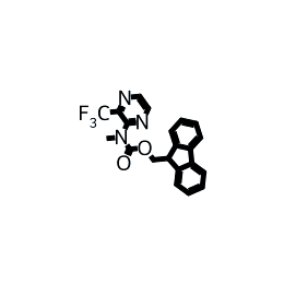 CN(C(=O)OCC1c2ccccc2-c2ccccc21)c1nccnc1C(F)(F)F